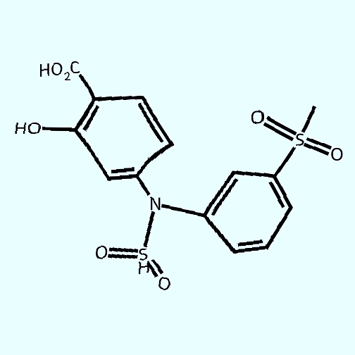 CS(=O)(=O)c1cccc(N(c2ccc(C(=O)O)c(O)c2)[SH](=O)=O)c1